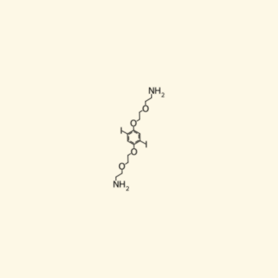 NCCOCCOc1cc(I)c(OCCOCCN)cc1I